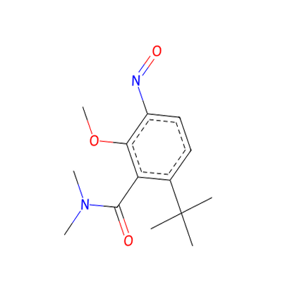 COc1c(N=O)ccc(C(C)(C)C)c1C(=O)N(C)C